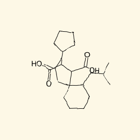 CC(C)CC1CCCCC1(CC(C)C)C(C(=O)O)C(C(=O)O)C1CCCC1